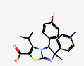 CC(C)C1=C(C(=O)O)SC2=NC(C)(c3ccc(I)cc3)C(c3ccc(I)cc3)N21